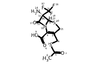 CC(=O)SCC1=C(C(=O)O)N2C(=O)[C@@](N)(C(F)(F)F)[C@H]2SC1